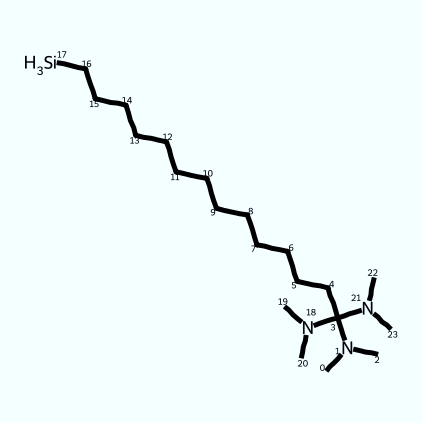 CN(C)C(CCCCCCCCCCCCC[SiH3])(N(C)C)N(C)C